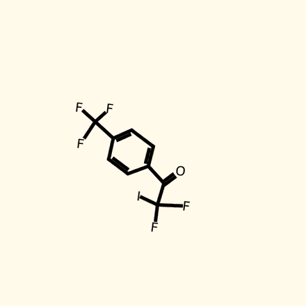 O=C(c1ccc(C(F)(F)F)cc1)C(F)(F)I